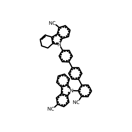 N#Cc1ccc2c(c1)c1ccccc1n2-c1c(C#N)cccc1-c1ccc(-c2ccc(-n3c4c(c5c(C#N)cccc53)C=CCC4)cc2)cc1